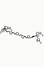 CC(C)C#CCOCCOCCOCCOCCN(C)C